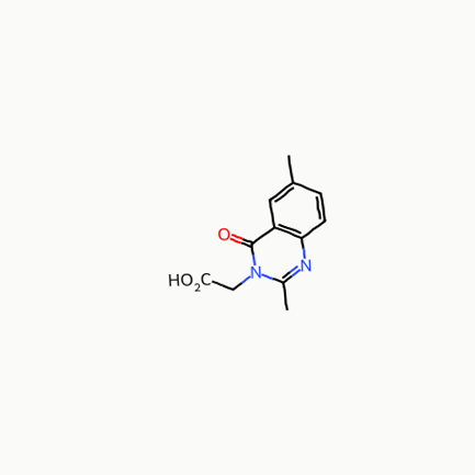 Cc1ccc2nc(C)n(CC(=O)O)c(=O)c2c1